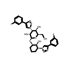 OC[C@H]1O[C@@H](S[C@@H]2CCC[C@H](n3cc(-c4cccc(F)c4)nn3)[C@@H]2O)[C@H](O)[C@H](n2cc(-c3cccc(F)c3)nn2)[C@H]1O